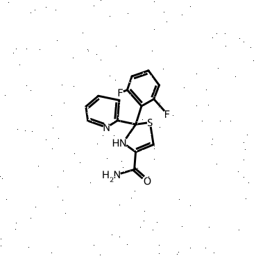 NC(=O)C1=CSC(c2ccccn2)(c2c(F)cccc2F)N1